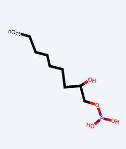 CCCCCCCCCCCCCCC(O)COP(O)O